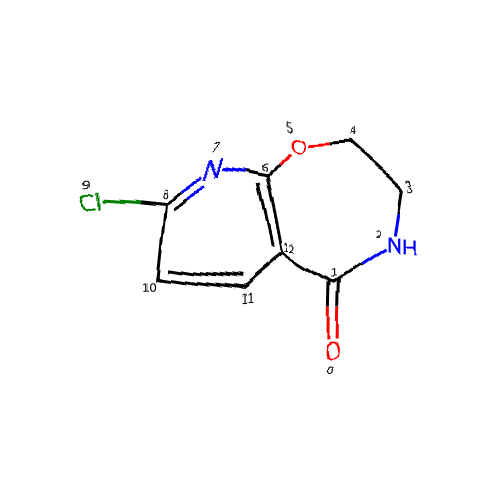 O=C1NCCOc2nc(Cl)ccc21